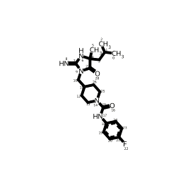 CC(C)CC1(C)NC(=N)N(CC2CCN(C(=O)Nc3ccc(F)cc3)CC2)C1=O